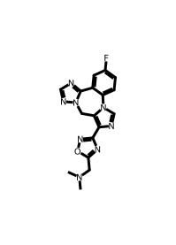 CN(C)Cc1nc(-c2ncn3c2Cn2ncnc2-c2cc(F)ccc2-3)no1